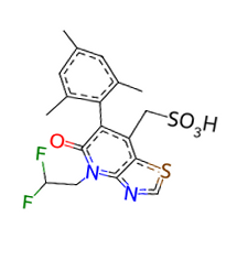 Cc1cc(C)c(-c2c(CS(=O)(=O)O)c3scnc3n(CC(F)F)c2=O)c(C)c1